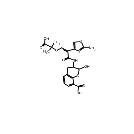 CC(C)(O/N=C(\C(=O)NC1Cc2cccc(C(=O)O)c2OB1O)c1csc(N)n1)C(=O)O